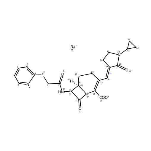 O=C(CSc1ncccn1)N[C@@H]1C(=O)N2C(C(=O)[O-])=C(/C=C3\CCN(C4CC4)C3=O)CS[C@H]12.[Na+]